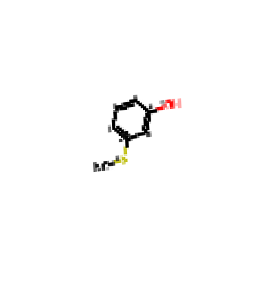 N#CSc1cccc(O)c1